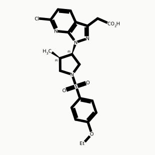 CCOc1ccc(S(=O)(=O)N2C[C@@H](C)[C@@H](n3nc(CC(=O)O)c4ccc(Cl)nc43)C2)cc1